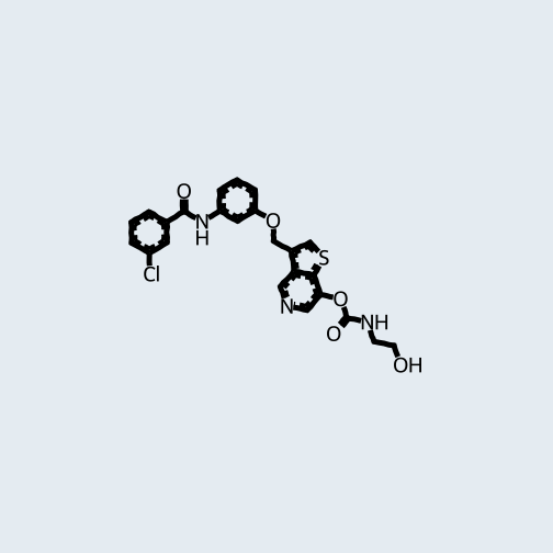 O=C(NCCO)Oc1cncc2c(COc3cccc(NC(=O)c4cccc(Cl)c4)c3)csc12